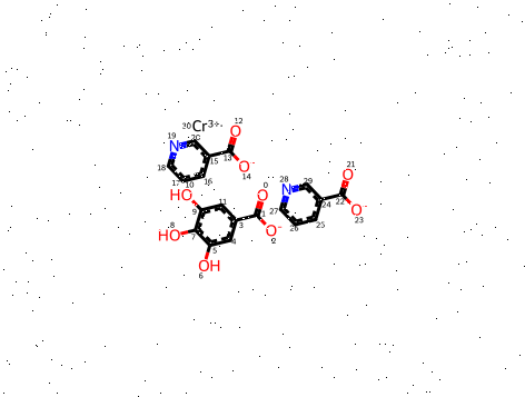 O=C([O-])c1cc(O)c(O)c(O)c1.O=C([O-])c1cccnc1.O=C([O-])c1cccnc1.[Cr+3]